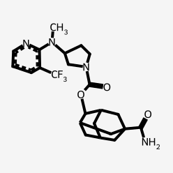 CN(c1ncccc1C(F)(F)F)C1CCN(C(=O)OC2C3CC4CC2CC(C(N)=O)(C4)C3)C1